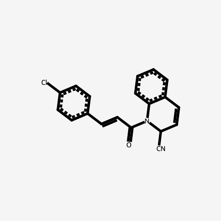 N#CC1C=Cc2ccccc2N1C(=O)C=Cc1ccc(Cl)cc1